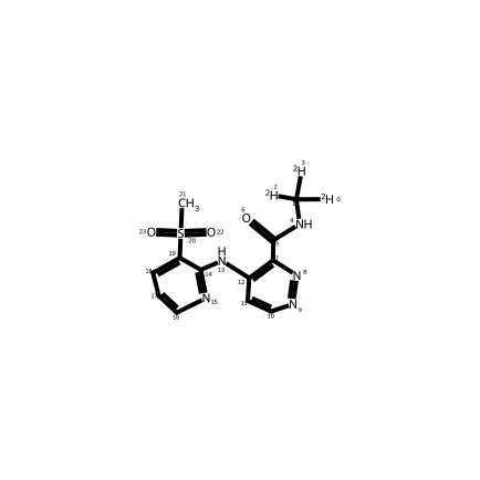 [2H]C([2H])([2H])NC(=O)c1nnccc1Nc1ncccc1S(C)(=O)=O